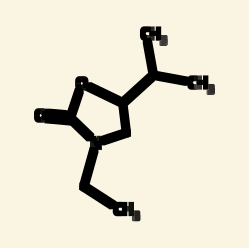 CCN1CC(C(C)C)OC1=O